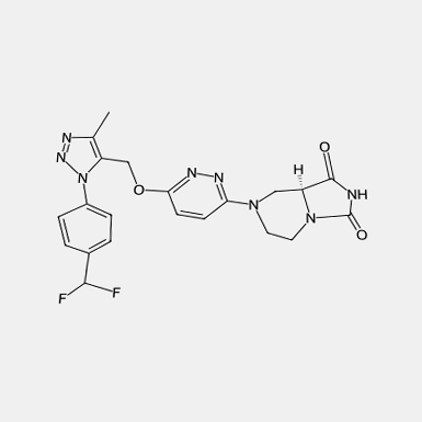 Cc1nnn(-c2ccc(C(F)F)cc2)c1COc1ccc(N2CCN3C(=O)NC(=O)[C@@H]3C2)nn1